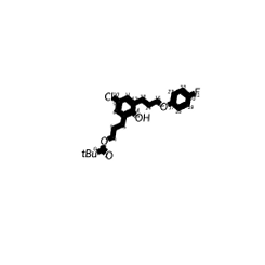 CC(C)(C)C(=O)OCCCc1cc(Cl)cc(CCCOc2ccc(F)cc2)c1O